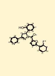 O=C(c1ccc(C2=C(F)CCC=C2)o1)N1N=C(c2cccnc2)CC1c1ccccc1O